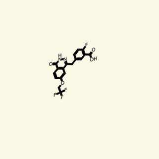 O=C(O)c1cc(Cc2n[nH]c(=O)c3ccc(OCC(F)(F)F)cc23)ccc1F